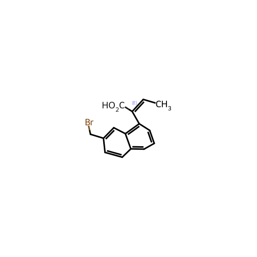 C/C=C(/C(=O)O)c1cccc2ccc(CBr)cc12